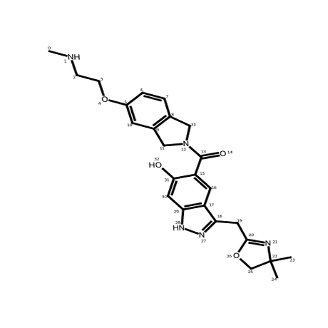 CNCCOc1ccc2c(c1)CN(C(=O)c1cc3c(CC4=NC(C)(C)CO4)n[nH]c3cc1O)C2